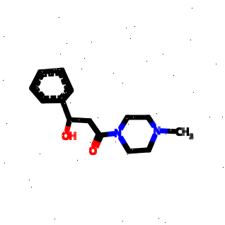 CN1CCN(C(=O)CC(O)c2ccccc2)CC1